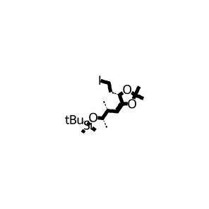 C[C@H](/C=C1/OC(C)(C)O[C@H]1CCI)[C@H](C)O[Si](C)(C)C(C)(C)C